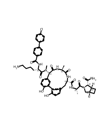 C[C@@H]1NC(=O)[C@@H](N(C)C(=O)[C@H](CCCCN)NC(=O)c2ccc(-c3ccc(Cl)cc3)cc2)c2ccc(O)c(c2)-c2cc(ccc2O)C[C@@H](C(=O)N[C@@H](C)C(=O)N2C[C@H]3CC[C@H]3[C@H]2C(N)=O)NC1=O